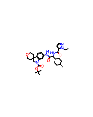 CCn1nccc1C(=O)N[C@H](C(=O)Nc1ccc2c(c1)N(C(=O)OC(C)(C)C)CC21CCOCC1)[C@H]1CC[C@H](C)CC1